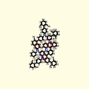 Cc1cccc(C)c1-c1ccc(N(c2ccc(-c3c(C)cccc3C)cc2)c2cc3c4c(c2)N(c2c(-c5ccccc5)cccc2-c2ccccc2)c2cc5c(cc2B4c2ccccc2N3c2ccccc2)B2c3cc(-c4c(C)cccc4C)ccc3N(c3ccc(-c4c(C)cccc4C)cc3)c3cc(-c4c(C)cccc4C)cc(c32)N5c2ccccc2)cc1